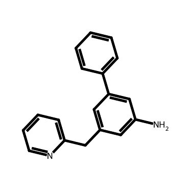 Nc1cc(Cc2ccccn2)cc(-c2ccccc2)c1